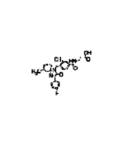 CC[C@H](c1ccc(C(=O)NCCC(=O)O)cc1)N1C(=O)C(c2ccc(F)cc2)=NC12CC=CC(C)C2